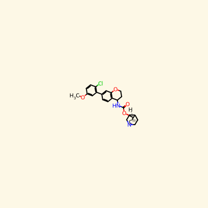 COc1ccc(Cl)c(-c2ccc3c(c2)OCCC3NC(=O)O[C@@H]2CN3CCC2CC3)c1